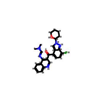 CN(C)/C=N/c1c(C(=O)c2ccc(F)c3nn(C4CCCCO4)cc23)cnc2ccccc12